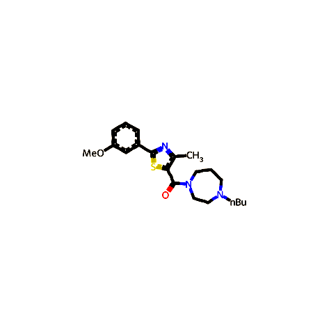 CCCCN1CCCN(C(=O)c2sc(-c3cccc(OC)c3)nc2C)CC1